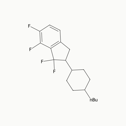 CCCCC1CCC(C2Cc3ccc(F)c(F)c3C2(F)F)CC1